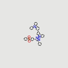 O=S(=O)(c1ccccc1)c1ccc(-c2cc(-c3ccccc3)nc(-n3c4ccccc4c4cc(-c5ccc6c7ccccc7n(-c7ccccc7)c6c5)ccc43)n2)cc1